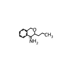 CCCC1OCc2ccccc2[C@@H]1N